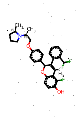 CC1=C(c2ccccc2C(F)F)C(c2ccc(OC[C@H](C)N3CCC[C@H]3C)cc2)Oc2ccc(O)c(F)c21